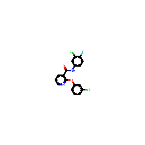 O=C(Nc1ccc(F)c(Cl)c1)c1cccnc1Oc1cccc(Cl)c1